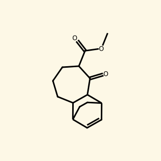 COC(=O)C1CCCC2C3C=CC(CC3)C2C1=O